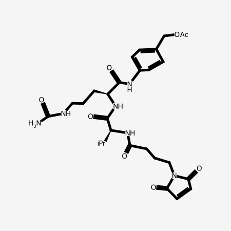 CC(=O)OCc1ccc(NC(=O)[C@H](CCCNC(N)=O)NC(=O)[C@@H](NC(=O)CCCN2C(=O)C=CC2=O)C(C)C)cc1